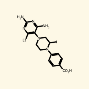 CCc1nc(N)nc(N)c1N1CCN(c2ccc(C(=O)O)cc2)C(I)C1